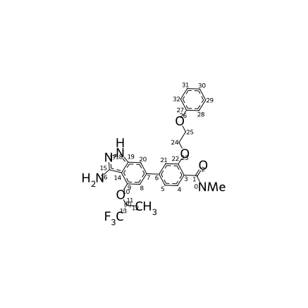 CNC(=O)c1ccc(-c2cc(O[C@H](C)C(F)(F)F)c3c(N)n[nH]c3c2)cc1OCCOc1ccccc1